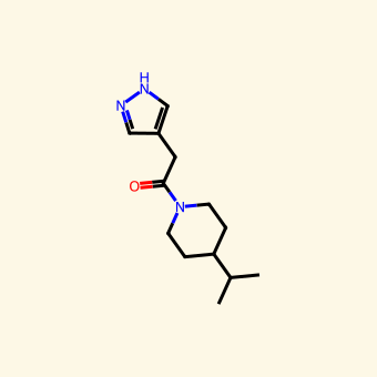 CC(C)C1CCN(C(=O)Cc2cn[nH]c2)CC1